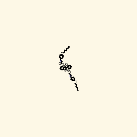 CCCCCCOc1ccc(/C=C/COOc2cccc3c2C2(CO3)COc3cccc(OC(=O)/C=C/c4ccc(OCCCCCC)cc4)c32)cc1